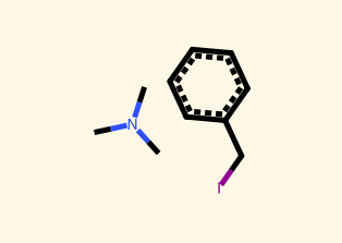 CN(C)C.ICc1ccccc1